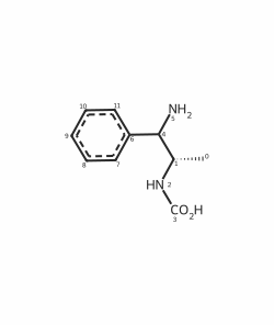 C[C@H](NC(=O)O)C(N)c1ccccc1